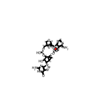 Nc1nc2c(nnn2C2C(O)C3OP(O)OCC45COC(C(n6cnc7c(N)ncnc76)O4)C5OP(=O)(S)OCC34CC24)c(=O)[nH]1